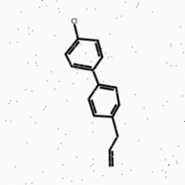 C=CCc1ccc(-c2ccc(Cl)cc2)cc1